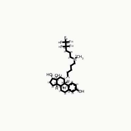 CN(CCCCC[C@H]1C[C@]2(C)[C@@H](O)CC[C@H]2[C@@H]2CCc3cc(O)ccc3[C@@H]12)CCCC(F)(F)C(F)(F)F